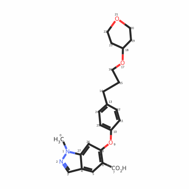 Cn1ncc2cc(C(=O)O)c(Oc3ccc(CCCOC4CCOCC4)cc3)cc21